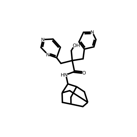 O=C(NC1C2CC3CC(C2)CC1C3)C(CO)(Cc1ccncc1)Cc1ccncn1